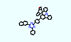 c1ccc(-c2nc(-c3ccc(-c4cc5c6c(c4)c4ccccc4n6-c4ccccc4C54c5ccccc5-c5ccccc54)cc3)nc(-c3ccc4ccccc4c3)n2)cc1